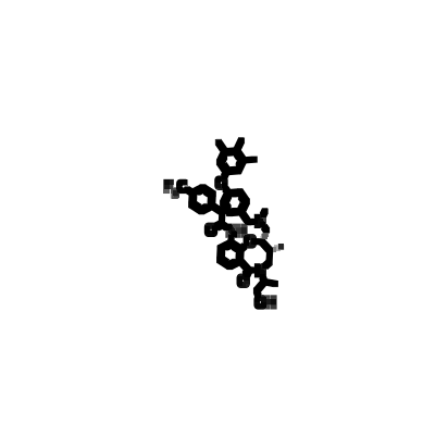 Cc1cc(Oc2ccc(CN(C)C[C@H]3Oc4c(NC(=O)Cc5ccc(C(F)(F)F)cc5)cccc4C(=O)N(C(C)CO)C[C@H]3C)cc2)cc(C)c1C